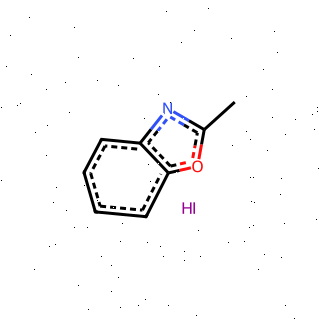 Cc1nc2ccccc2o1.I